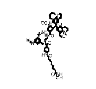 [N-]=[N+]=Nc1cc(CN(CCNC(=O)c2ccc(C(=O)O)c(C3=c4cc5c6c(c4Oc4c3cc3c7c4CCCN7CCCC3)CCC[N+]=6CCCC5)c2)C(=O)c2ccc(NC(=O)CCCCCCC(=O)NO)cc2)cc(N=[N+]=[N-])c1